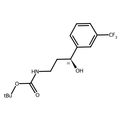 CC(C)(C)OC(=O)NCC[C@H](O)c1cccc(C(F)(F)F)c1